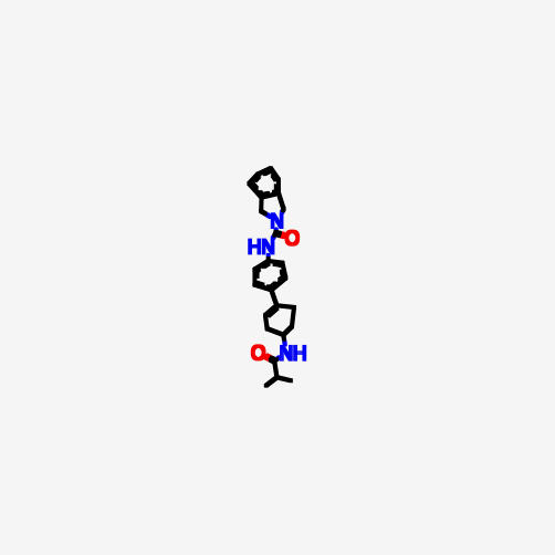 CC(C)C(=O)NC1CC=C(c2ccc(NC(=O)N3Cc4ccccc4C3)cc2)CC1